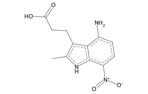 Cc1[nH]c2c([N+](=O)[O-])ccc(N)c2c1CCC(=O)O